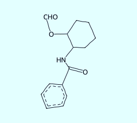 O=COC1CCCCC1NC(=O)c1ccccc1